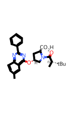 Cc1ccc2nc(-c3ccccc3)nc(O[C@@H]3CC(C(=O)O)N(C(=O)[C@@H](C)C(C)(C)C)C3)c2c1